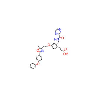 Cc1oc(-c2ccc(Oc3ccccc3)cc2)nc1CCOc1ccc(CCC(=O)O)c(CNC(=O)c2cnccn2)c1